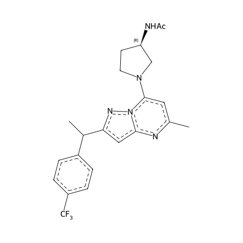 CC(=O)N[C@@H]1CCN(c2cc(C)nc3cc(C(C)c4ccc(C(F)(F)F)cc4)nn23)C1